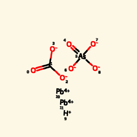 O=C([O-])[O-].O=[As]([O-])([O-])[O-].[H+].[Pb+4].[Pb+4]